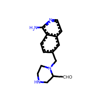 Nc1nccc2cc(CN3CCNCC3C=O)ccc12